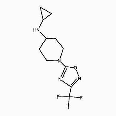 CC(F)(F)c1noc(N2CCC(NC3CC3)CC2)n1